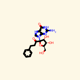 Nc1nc2c(ncn2[C@]2(C(=O)CCc3ccccc3)O[C@H](CO)[C@@H](O)[C@H]2O)c(=O)[nH]1